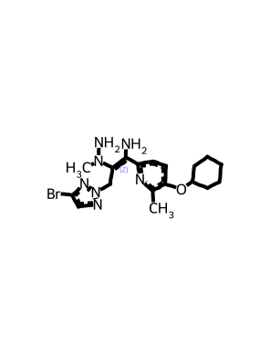 Cc1nc(/C(N)=C(\Cn2ncc(Br)n2)N(C)N)ccc1OC1CCCCC1